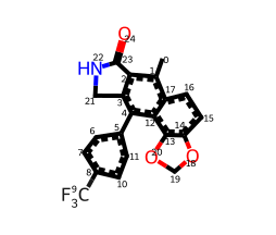 Cc1c2c(c(-c3ccc(C(F)(F)F)cc3)c3c4c(ccc13)OCO4)CNC2=O